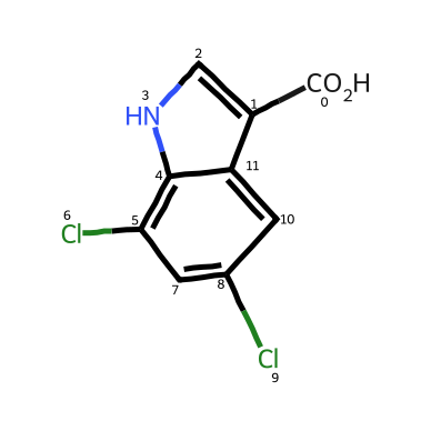 O=C(O)c1c[nH]c2c(Cl)cc(Cl)cc12